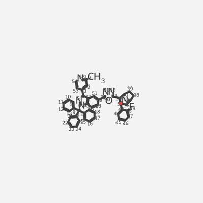 Cc1cc(-c2nn(C(c3ccccc3)(c3ccccc3)c3ccccc3)c3ccc(-c4nnc(C5CCC6CCC5N6Cc5ccccc5F)o4)cc23)ccn1